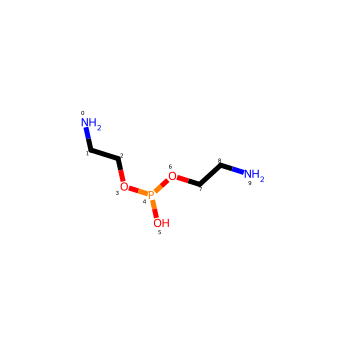 NCCOP(O)OCCN